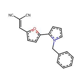 N#CC(C#N)=Cc1ccc(-c2cccn2Cc2ccccc2)o1